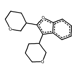 c1ccc2c(C3CCCOC3)c(C3CCCOC3)oc2c1